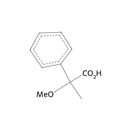 COC(C)(C(=O)O)c1ccccc1